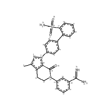 Cc1nn(-c2ccc(-c3ccccc3S(N)(=O)=O)cc2)c2c1CCN(c1cccc(C(=N)N)c1)C2=O